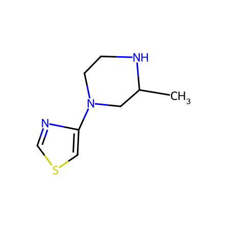 CC1CN(c2cscn2)CCN1